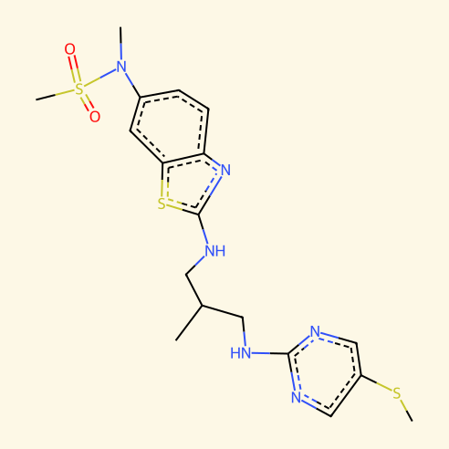 CSc1cnc(NCC(C)CNc2nc3ccc(N(C)S(C)(=O)=O)cc3s2)nc1